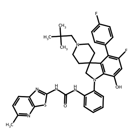 Cc1ccc2nc(NC(=O)Nc3ccccc3N3CC4(CCN(CC(C)(C)C)CC4)c4c(-c5ccc(F)cc5)c(F)cc(O)c43)sc2n1